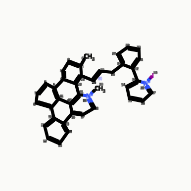 Cc1ccc2c3cccc4c5ccccc5c5cc[n+](C)c(c2c1/C=C/Cc1ccccc1-c1cccc[n+]1I)c5c43